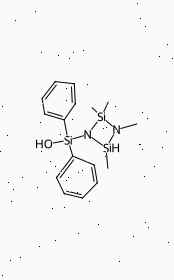 CN1[SiH](C)N([Si](O)(c2ccccc2)c2ccccc2)[Si]1(C)C